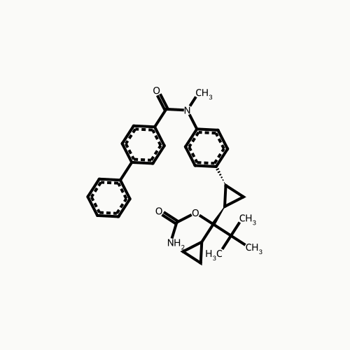 CN(C(=O)c1ccc(-c2ccccc2)cc1)c1ccc([C@@H]2C[C@H]2C(OC(N)=O)(C2CC2)C(C)(C)C)cc1